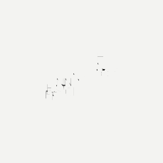 O=C(CC1CC1)NC1CCC(CCN2CCN(c3ncc(C(F)(F)F)cc3Cl)CC2)CC1